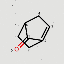 O=C1C2=CCC1CC2